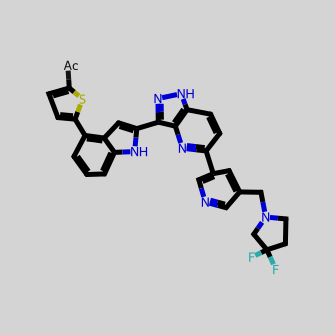 CC(=O)c1ccc(-c2cccc3[nH]c(-c4n[nH]c5ccc(-c6cncc(CN7CCC(F)(F)C7)c6)nc45)cc23)s1